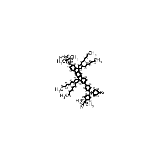 CCCCCCCCC1(CCCCCCCC)c2cc(B3OC(C)(C)C(C)(C)O3)ccc2-c2cc3c(cc21)-c1ccc(-c2ccc(N(c4ccc(Br)cc4)c4ccc(C(C)(C)C#N)cc4)cc2)cc1C3(CCCCCCCC)CCCCCCCC